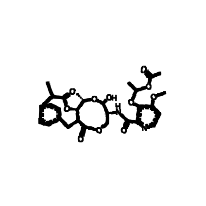 COc1ccnc(C(=O)N[C@H]2COC(=O)C(Cc3ccccc3)[C@@H](OC(=O)C(C)C)[C@H](C)OC2O)c1OC(C)OC(C)=O